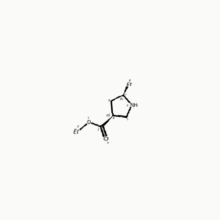 CCOC(=O)[C@@H]1CN[C@H](CC)C1